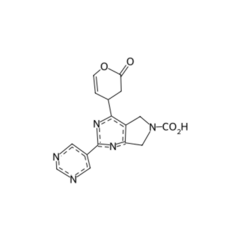 O=C1CC(c2nc(-c3cncnc3)nc3c2CN(C(=O)O)C3)C=CO1